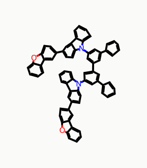 c1ccc(-c2cc(-c3cc(-c4ccccc4)cc(-n4c5ccccc5c5cc(-c6ccc7oc8ccccc8c7c6)ccc54)c3)cc(-n3c4ccccc4c4cc(-c5ccc6oc7ccccc7c6c5)ccc43)c2)cc1